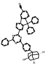 N#Cc1ccc2c(c1)-c1ccc(-c3nc(-c4ccccc4)nc(-c4ccc(C56C[C@H]7C[C@H](C5)C[C@@H](C6)C7)cc4)n3)cc1C2(c1ccccc1)c1ccccc1